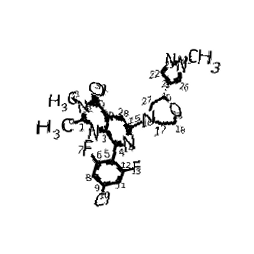 Cc1nc2c(-c3c(F)cc(Cl)cc3F)nc(N3CCO[C@@H](c4cnn(C)c4)C3)cc2c(=O)n1C